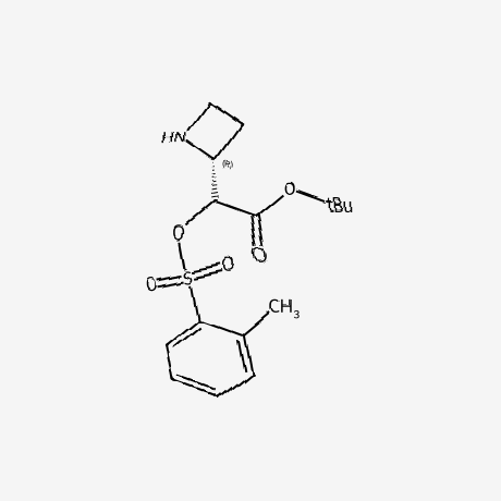 Cc1ccccc1S(=O)(=O)OC(C(=O)OC(C)(C)C)[C@H]1CCN1